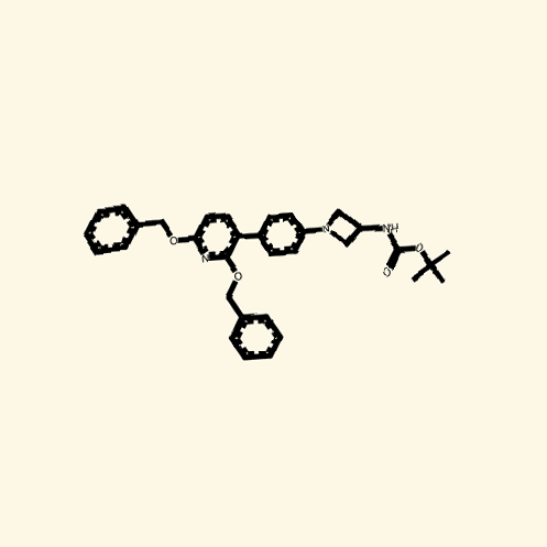 CC(C)(C)OC(=O)NC1CN(c2ccc(-c3ccc(OCc4ccccc4)nc3OCc3ccccc3)cc2)C1